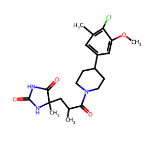 COc1cc(C2CCN(C(=O)C(C)CC3(C)NC(=O)NC3=O)CC2)cc(C)c1Cl